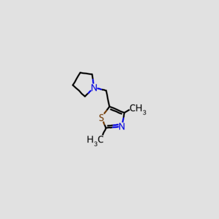 Cc1nc(C)c(CN2CCCC2)s1